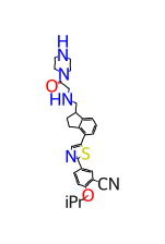 CC(C)Oc1ccc(-c2ncc(-c3cccc4c3CCC4CNCC(=O)N3CCNCC3)s2)cc1C#N